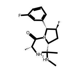 CNC(C)(C)[C@H]1C[C@H](F)[C@@H](c2cccc(F)c2)N1C(=O)[C@@H](C)N